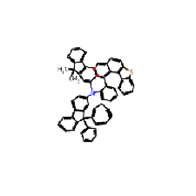 CC1(C)C2=C(CCC(N(c3ccc4c(c3)C(C3=CCC#CC=C3)(c3ccccc3)c3ccccc3-4)c3ccccc3-c3cccc4ccc5sc6ccccc6c5c34)=C2)c2ccccc21